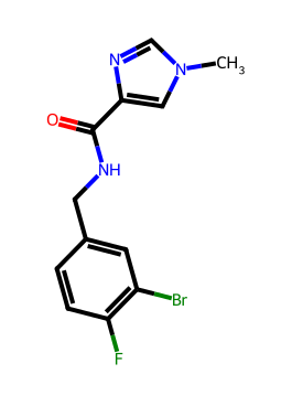 Cn1cnc(C(=O)NCc2ccc(F)c(Br)c2)c1